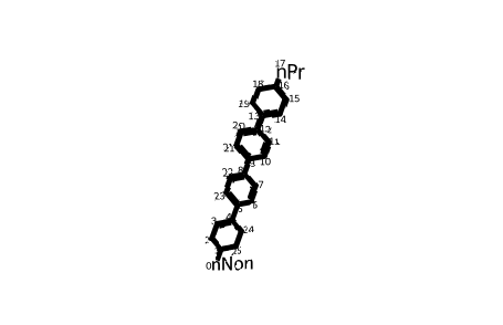 CCCCCCCCCC1CC=C(c2ccc(-c3ccc(C4=CCC(CCC)CC4)cc3)cc2)CC1